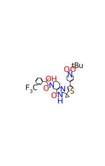 CC(C)(C)OC(=O)N1CC=C(c2csc(C3(c4nc5c(c(=O)[nH]4)CN(C(=O)[C@H](O)c4cccc(C(F)(F)F)c4)CCC5)CC3)c2)CC1